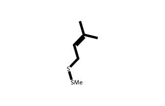 CSSCC=C(C)C